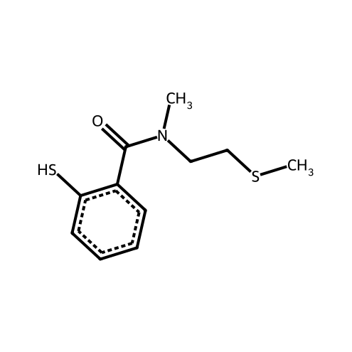 CSCCN(C)C(=O)c1ccccc1S